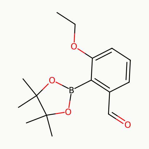 CCOc1cccc(C=O)c1B1OC(C)(C)C(C)(C)O1